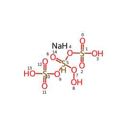 O=S(=O)(O)O[SH](=O)(OO)OS(=O)(=O)O.[NaH]